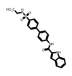 O=C(O)CNS(=O)(=O)c1ccc(-c2ccc(NC(=O)c3cc4ccccc4[nH]3)cc2)cc1